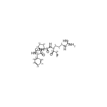 N=C(N)NCCCC(NC(=O)C1CCCN1C(=O)[C@@H](NC(=O)O)c1ccccc1)C(=O)CF